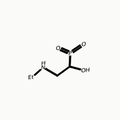 CCNCC(O)P(=O)=O